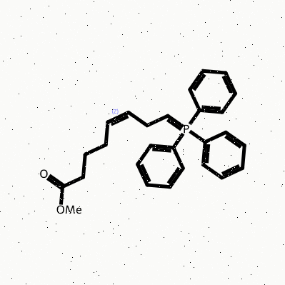 COC(=O)CCC/C=C\CC=P(c1ccccc1)(c1ccccc1)c1ccccc1